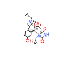 O=C1NC(=O)[C@@]2(CC[C@@]3(O)[C@@H]4N(CC5CC5)CC45C[C@@]3(C2)c2cc(O)ccc25)N1CC1CC1